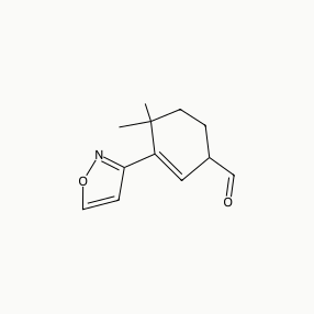 CC1(C)CCC(C=O)C=C1c1ccon1